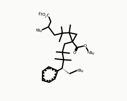 CCCCOC(=O)C1(CC(C)(C)C(C)(C)[C@H](CC(C)(C)C)c2ccccc2)CC1(C)C(C)(C)CC(CC(=O)OCC)C(C)(C)C